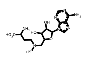 CCCN(CCC(N)C(=O)O)CC1OC(n2cnc3c(N)ncnc32)C(O)C1O